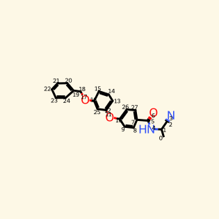 CC(C#N)NC(=O)c1ccc(Oc2cccc(OCc3ccccc3)c2)cc1